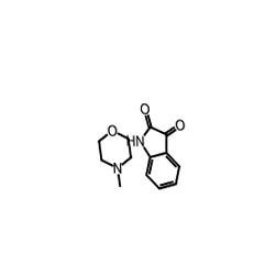 CN1CCOCC1.O=C1Nc2ccccc2C1=O